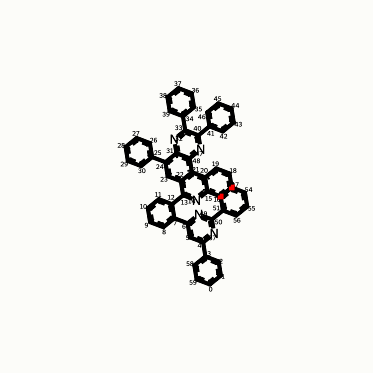 c1ccc(-c2cc(-c3ccccc3-c3nc4ccccc4c4c3cc(-c3ccccc3)c3nc(-c5ccccc5)c(-c5ccccc5)nc34)nc(-c3ccccc3)n2)cc1